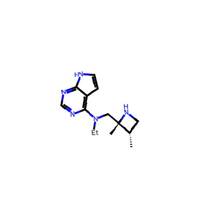 CCN(C[C@]1(C)NC[C@@H]1C)c1ncnc2[nH]ccc12